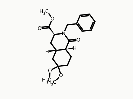 COC(=O)[C@@H]1C[C@H]2CC(OC)(OC)CC[C@H]2C(=O)N1Cc1ccccc1